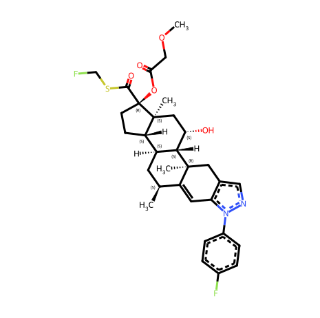 COCC(=O)O[C@]1(C(=O)SCF)CC[C@H]2[C@@H]3C[C@H](C)C4=Cc5c(cnn5-c5ccc(F)cc5)C[C@]4(C)[C@H]3[C@@H](O)C[C@@]21C